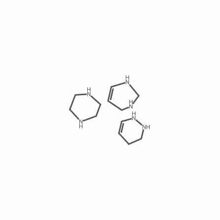 C1=CNCNC1.C1=CNNCC1.C1CNCCN1